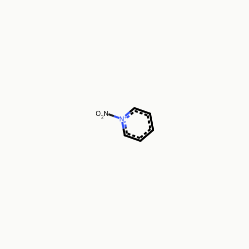 O=[N+]([O-])[n+]1ccccc1